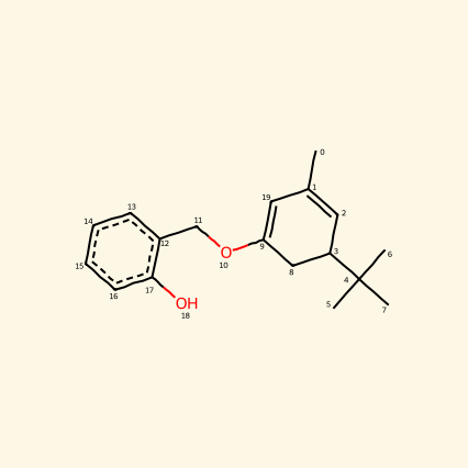 CC1=CC(C(C)(C)C)CC(OCc2ccccc2O)=C1